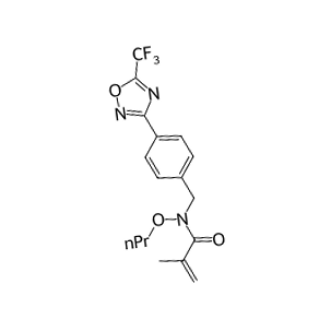 C=C(C)C(=O)N(Cc1ccc(-c2noc(C(F)(F)F)n2)cc1)OCCC